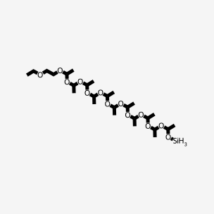 CCOCCOC(C)OC(C)OC(C)OC(C)OC(C)OC(C)OC(C)OC(C)OC(C)OC(C)OC(C)O[SiH3]